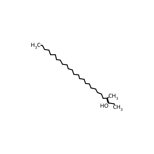 CCCCCCCCCCCCCCCCCCCCCCC/C(C)=C(\O)CC